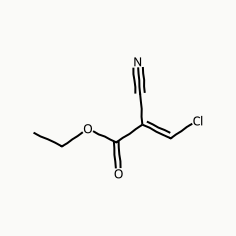 CCOC(=O)/C(C#N)=C/Cl